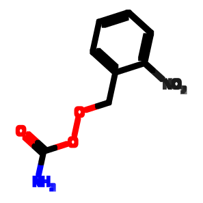 NC(=O)OOCc1ccccc1[N+](=O)[O-]